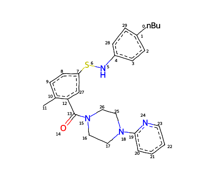 CCCCc1ccc(NSc2ccc(C)c(C(=O)N3CCN(c4ccccn4)CC3)c2)cc1